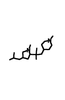 CC(C)CC1CC(C(C)(C)CC2CCN(C)CC2)N(C)C1